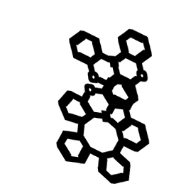 c1ccc2c(c1)Oc1cc(-c3cccc4c3B3c5ccccc5Oc5cccc(c53)-c3ccccc3-c3ccccc3-4)cc3c1B2c1ccccc1O3